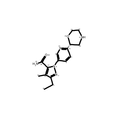 CCc1nn(-c2ccc([C@H]3CNCCO3)nc2)c(C(N)=O)c1C